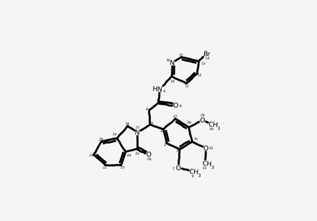 COc1cc(C(CC(=O)Nc2ccc(Br)cn2)N2Cc3ccccc3C2=O)cc(OC)c1OC